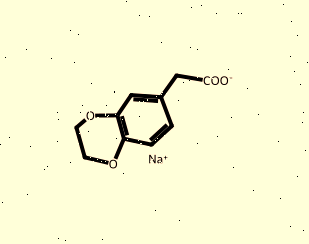 O=C([O-])Cc1ccc2c(c1)OCCO2.[Na+]